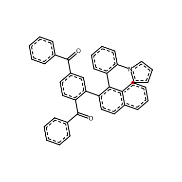 O=C(c1ccccc1)c1ccc(C(=O)c2ccccc2)c(-c2ccc3ccccc3c2-c2ccccc2-n2cccc2)c1